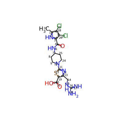 Cc1[nH]c(C(=O)NC2CCN(c3nc(CNC(=N)N)c(C(=O)O)s3)CC2)c(Cl)c1Cl